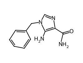 NC(=O)c1ncn(Cc2ccccc2)c1N